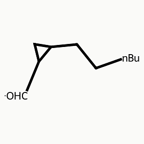 CCCCCCC1CC1[C]=O